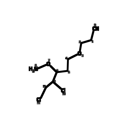 N#CCCOCCC(O[SiH3])C(Cl)CCl